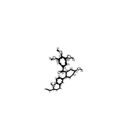 CCC1CCc2cc(C3CCC(OC)CC3C(=O)c3cc(OC)c(OC)c(OC)c3)ccc2N1C